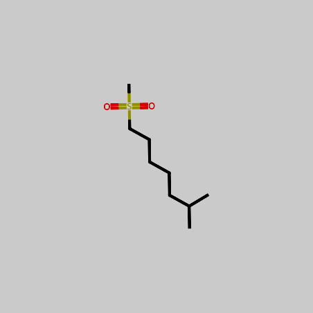 CC(C)CCCCCS(C)(=O)=O